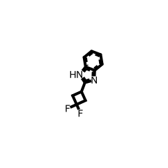 FC1(F)CC(c2nc3ccccc3[nH]2)C1